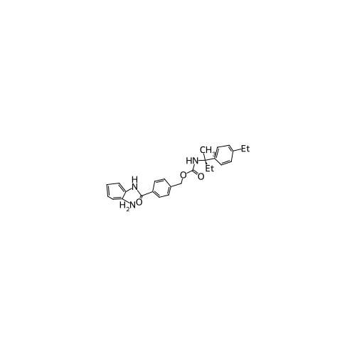 CCc1ccc([C@](C)(CC)NC(=O)OCc2ccc(C(=O)Nc3ccccc3N)cc2)cc1